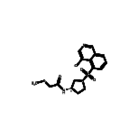 COCC(=O)N[C@H]1CCN(S(=O)(=O)c2cccc3cncc(Cl)c23)C1